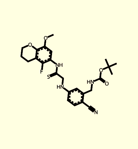 COc1cc(NC(=S)CNc2ccc(C#N)c(CNC(=O)OC(C)(C)C)c2)c(F)c2c1OCCC2